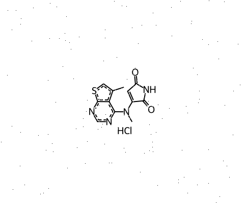 Cc1csc2ncnc(N(C)C3=CC(=O)NC3=O)c12.Cl